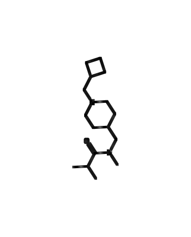 CC(C)C(=O)N(C)CC1CCN(CC2CCC2)CC1